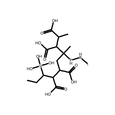 CCC(C(C(=O)O)C(CC(C)(PBI)C(C(=O)O)C(C)C(=O)O)C(=O)O)[Si](O)(O)O